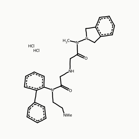 CNCCN(C(=O)CNCC(=O)N(C)N1Cc2ccccc2C1)c1ccccc1-c1ccccc1.Cl.Cl